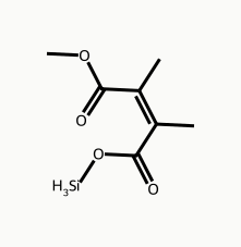 COC(=O)/C(C)=C(/C)C(=O)O[SiH3]